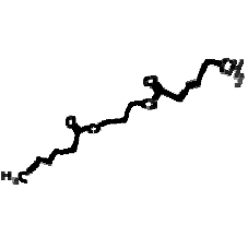 CCCCCC(=O)OCCCOC(=O)CCCCC